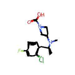 CC(c1ccc(F)cc1Cl)N(C)C1CN(C(=O)O)C1